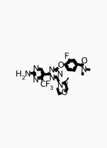 C[C@H]1COCCN1c1nc(Oc2ccc(C(=O)N(C)C)cc2F)nc(-c2cnc(N)nc2C(F)(F)F)n1